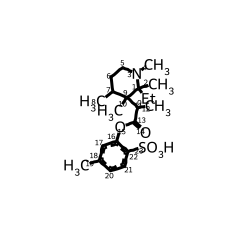 CCC1(C)N(C)CCC(C)C1(C)C(C)C(=O)Oc1cc(C)ccc1S(=O)(=O)O